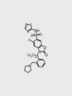 C[C@H](c1ccccc1CN1CCCC1)n1c(=O)oc2cc(S(=O)(=O)Nc3ncns3)c(F)cc21